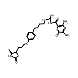 N=C(NCCCCc1ccc(OCCCC2SC(=O)NC2=O)cc1)NC(=O)c1nc(Cl)c(N)nc1N